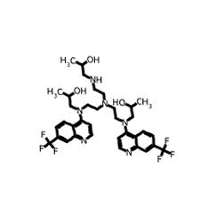 CC(O)CNCCN(CCN(CC(C)O)c1ccnc2cc(C(F)(F)F)ccc12)CCN(CC(C)O)c1ccnc2cc(C(F)(F)F)ccc12